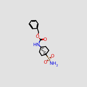 NS(=O)(=O)C12CCC(NC(=O)OCc3ccccc3)(CC1)CC2